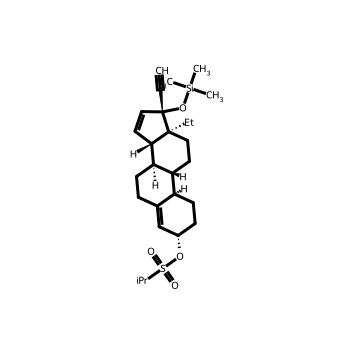 C#C[C@]1(O[Si](C)(C)C)C=C[C@H]2[C@@H]3CCC4=C[C@@H](OS(=O)(=O)C(C)C)CC[C@@H]4[C@H]3CC[C@@]21CC